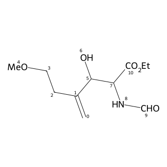 C=C(CCOC)C(O)C(NC=O)C(=O)OCC